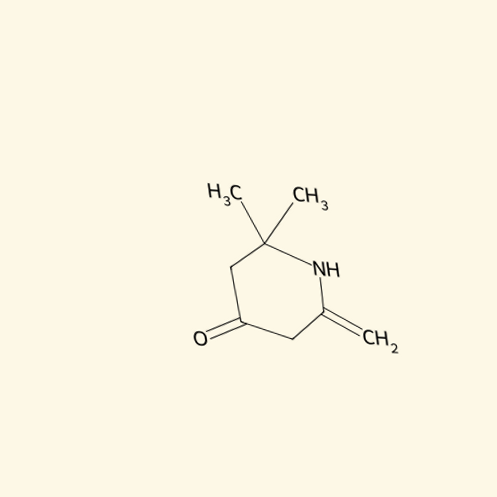 C=C1CC(=O)CC(C)(C)N1